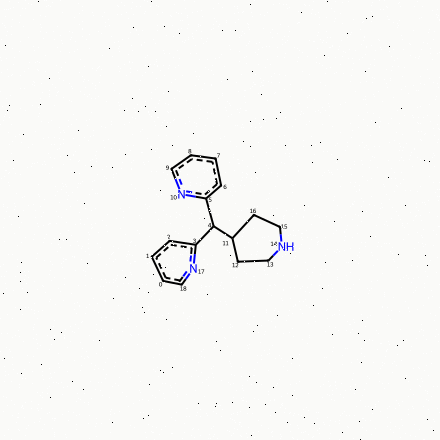 c1ccc(C(c2ccccn2)C2CCNCC2)nc1